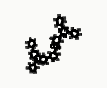 c1ccc(-c2ccc3c(c2)c2cc(-c4cccc(-c5nc6cc(-c7nc(-c8ccccc8)nc(-c8ccccc8)n7)ccc6o5)c4)ccc2n3-c2ccccc2)cc1